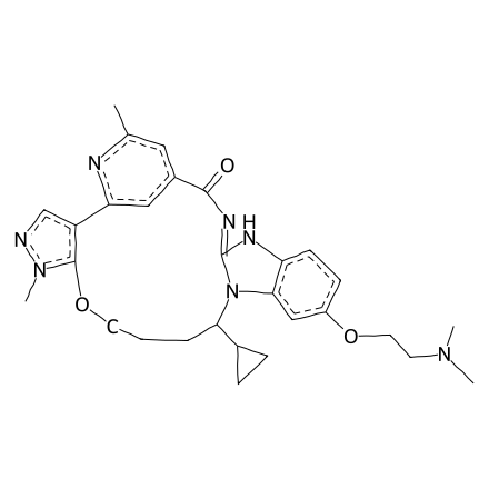 Cc1cc2cc(n1)-c1cnn(C)c1OCCCC(C1CC1)N1/C(=N/C2=O)Nc2ccc(OCCN(C)C)cc21